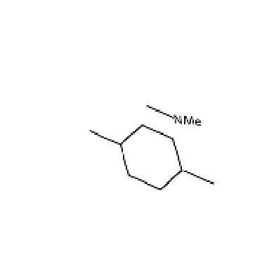 CC1CCC(C)CC1.CNC